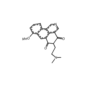 COc1cccc2c1cc1c3c(cncc32)C(=O)C(CCN(C)C)C1=O